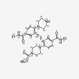 CCNC(=O)c1ccc(N2CCN(C(=O)OC(C)(C)C)CC2)c(F)n1.CCNC(=O)c1ccc(N2CCNCC2)c(F)n1